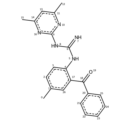 Cc1ccc(NC(=N)Nc2nc(C)cc(C)n2)c(C(=O)c2ccccc2)c1